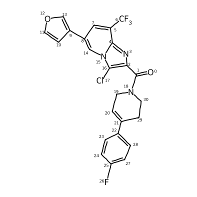 O=C(c1nc2c(C(F)(F)F)cc(-c3ccoc3)cn2c1Cl)N1CC=C(c2ccc(F)cc2)CC1